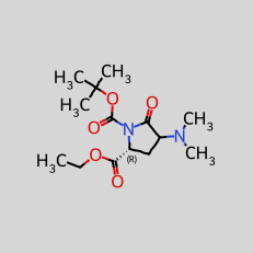 CCOC(=O)[C@H]1CC(N(C)C)C(=O)N1C(=O)OC(C)(C)C